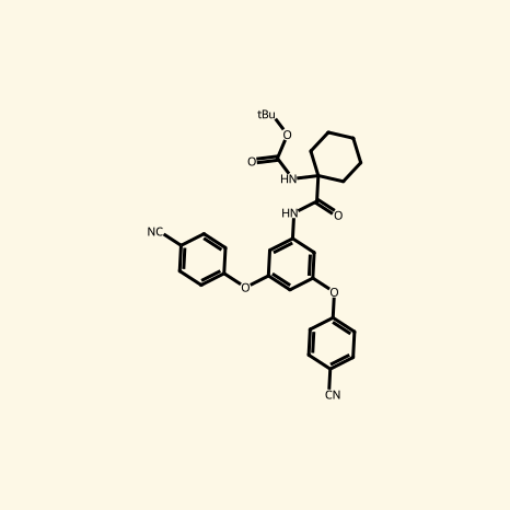 CC(C)(C)OC(=O)NC1(C(=O)Nc2cc(Oc3ccc(C#N)cc3)cc(Oc3ccc(C#N)cc3)c2)CCCCC1